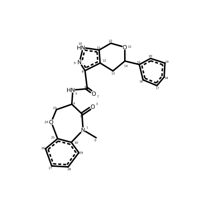 CN1C(=O)C(NC(=O)c2n[nH]c3c2CC(c2ccccc2)OC3)COc2ccccc21